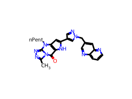 CCCCCn1c2cc(-c3cnn(Cc4cnc5cccnc5c4)c3)[nH]c2c(=O)n2c(C)nnc12